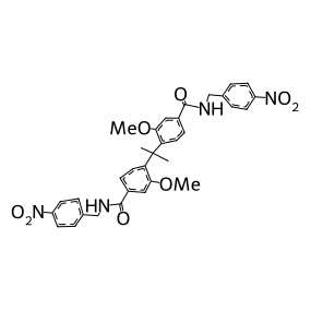 COc1cc(C(=O)NCc2ccc([N+](=O)[O-])cc2)ccc1C(C)(C)c1ccc(C(=O)NCc2ccc([N+](=O)[O-])cc2)cc1OC